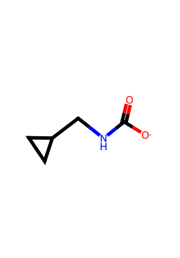 [O]C(=O)NCC1CC1